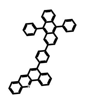 c1ccc(-c2c3ccccc3c(-c3ccccc3)c3cc(-c4ccc(-c5cc6cc7ccccc7nc6c6ccccc56)cc4)ccc23)cc1